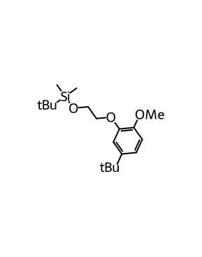 COc1ccc(C(C)(C)C)cc1OCCO[Si](C)(C)C(C)(C)C